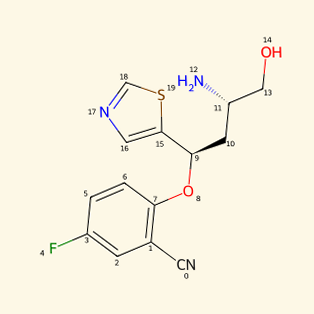 N#Cc1cc(F)ccc1O[C@H](C[C@H](N)CO)c1cncs1